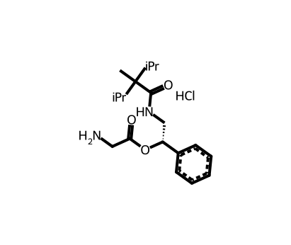 CC(C)C(C)(C(=O)NC[C@@H](OC(=O)CN)c1ccccc1)C(C)C.Cl